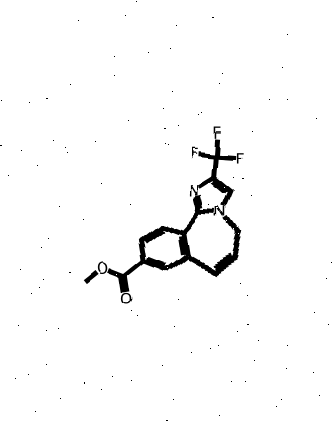 COC(=O)c1ccc2c(c1)C=CCn1cc(C(F)(F)F)nc1-2